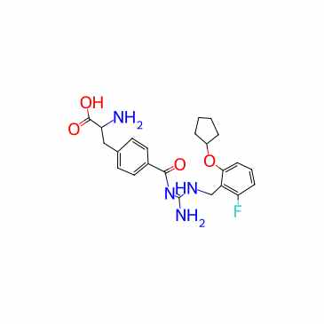 NC(=NC(=O)c1ccc(CC(N)C(=O)O)cc1)NCc1c(F)cccc1OC1CCCC1